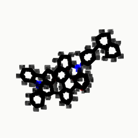 c1ccc(-c2ccccc2-c2c(-c3ccccc3)cccc2-c2cccc(N(c3ccc(-c4cccc5ccccc45)cc3)c3cccc(-c4ccc5c(c4)c4ccccc4n5-c4ccccc4)c3)c2)cc1